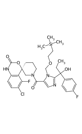 CCC(O)(c1ccc(F)cc1)c1ncc(C(=O)N2CCC[C@@]3(C2)OC(=O)Nc2ccc(Cl)c(F)c23)n1COCC[Si](C)(C)C